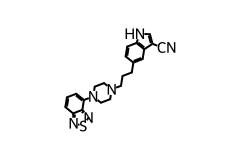 N#Cc1c[nH]c2ccc(CCCN3CCN(c4cccc5nsnc45)CC3)cc12